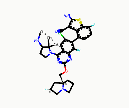 CNC1CCN(c2nc(OC[C@@]34CCCN3C[C@H](F)C4)nc3c(F)c(-c4ccc(F)c5sc(N)c(C#N)c45)c(Cl)cc23)C1(C)C